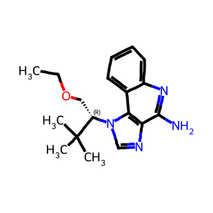 CCOC[C@H](n1cnc2c(N)nc3ccccc3c21)C(C)(C)C